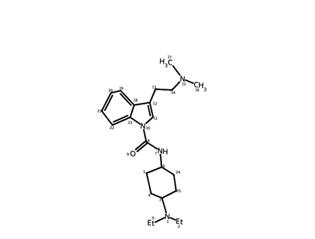 CCN(CC)C1CCC(NC(=O)n2cc(CCN(C)C)c3ccccc32)CC1